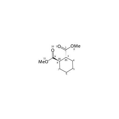 COC(=O)[C@@H]1CCCC[C@H]1C(=O)OC